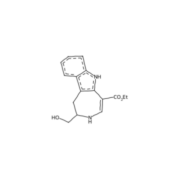 CCOC(=O)C1=CNC(CO)Cc2c1[nH]c1ccccc21